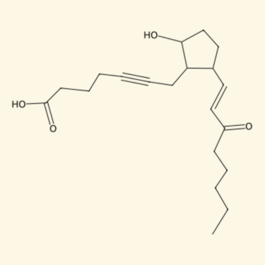 CCCCCC(=O)C=CC1CCC(O)C1CC#CCCCC(=O)O